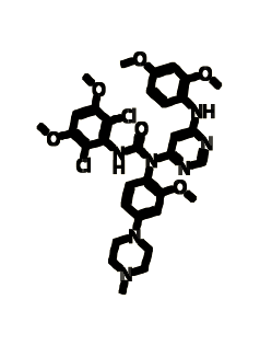 COc1ccc(Nc2cc(N(C(=O)Nc3c(Cl)c(OC)cc(OC)c3Cl)c3ccc(N4CCN(C)CC4)cc3OC)ncn2)c(OC)c1